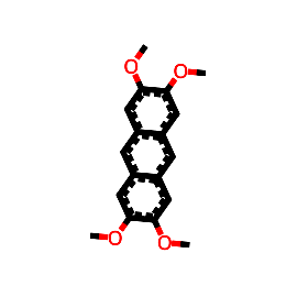 COc1cc2cc3cc(OC)c(OC)cc3cc2cc1OC